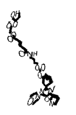 CCC(CO)OC(COC(=O)CCCC(=O)NCCCCOC(=O)Oc1cccc(-c2nc(N3CCOCC3)c3oc4ncccc4c3n2)c1)OC